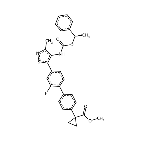 COC(=O)C1(c2ccc(-c3ccc(-c4snc(C)c4NC(=O)O[C@H](C)c4ccccc4)cc3F)cc2)CC1